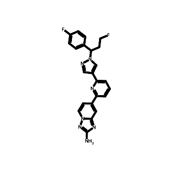 Nc1nc2cc(-c3cccc(-c4cnn(C(CCF)c5ccc(F)cc5)c4)n3)ccn2n1